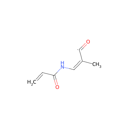 C=CC(=O)NC=C(C)[C]=O